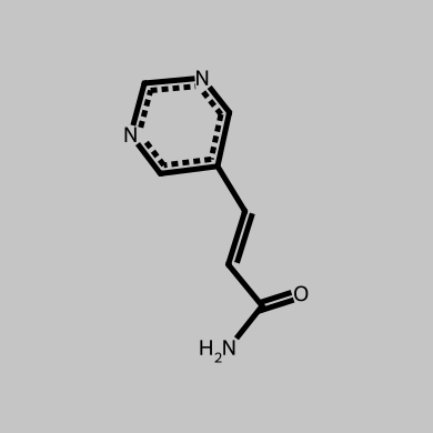 NC(=O)/C=C/c1cncnc1